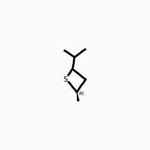 CC(C)C1C[C@@H](C)S1